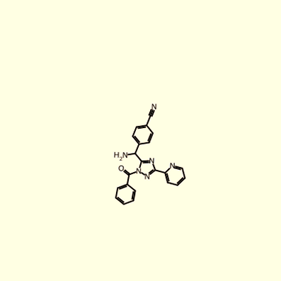 N#Cc1ccc(C(N)c2nc(-c3ccccn3)nn2C(=O)c2ccccc2)cc1